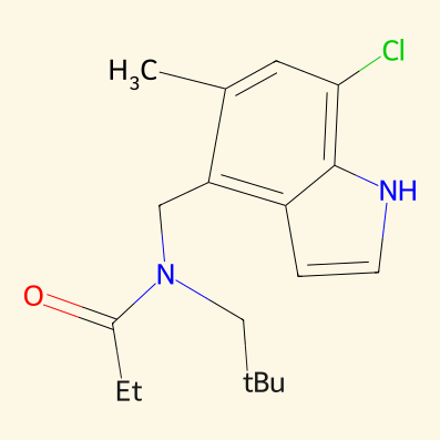 CCC(=O)N(Cc1c(C)cc(Cl)c2[nH]ccc12)CC(C)(C)C